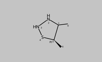 CC1NNS[C@@H]1C